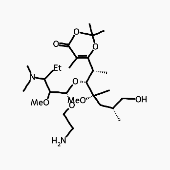 CCC(C(OC)[C@@H](OCCN)O[C@H]([C@@H](C)C1=C(C)C(=O)OC(C)(C)O1)[C@@](C)(C[C@@H](C)CO)OC)N(C)C